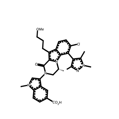 COCCCc1c2n(c3c(-c4c(C)nn(C)c4C)c(Cl)ccc13)[C@H](C)CN(c1cn(C)c3ccc(C(=O)O)cc13)C2=O